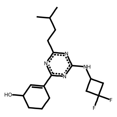 CC(C)CCc1nc(NC2CC(F)(F)C2)nc(C2=CC(O)CCC2)n1